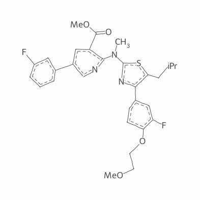 COCCOc1ccc(-c2nc(N(C)c3ncc(-c4cccc(F)c4)cc3C(=O)OC)sc2CC(C)C)cc1F